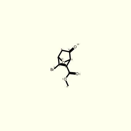 COC(=O)C1=C(Br)C2CC(=O)C1O2